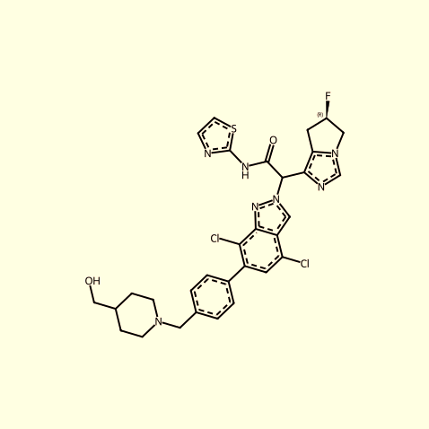 O=C(Nc1nccs1)C(c1ncn2c1C[C@@H](F)C2)n1cc2c(Cl)cc(-c3ccc(CN4CCC(CO)CC4)cc3)c(Cl)c2n1